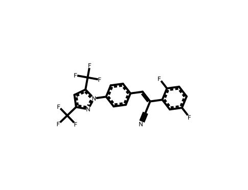 N#CC(=Cc1ccc(-n2nc(C(F)(F)F)cc2C(F)(F)F)cc1)c1cc(F)ccc1F